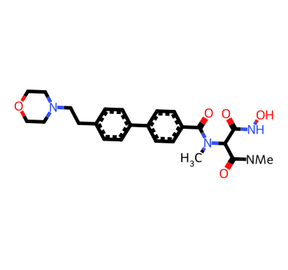 CNC(=O)C(C(=O)NO)N(C)C(=O)c1ccc(-c2ccc(CCN3CCOCC3)cc2)cc1